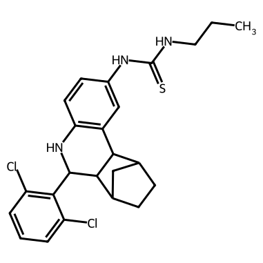 CCCNC(=S)Nc1ccc2c(c1)C1C3CCC(C3)C1C(c1c(Cl)cccc1Cl)N2